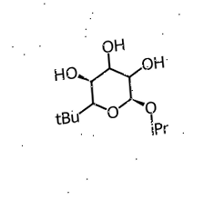 CC(C)O[C@H]1OC(C(C)(C)C)[C@@H](O)C(O)C1O